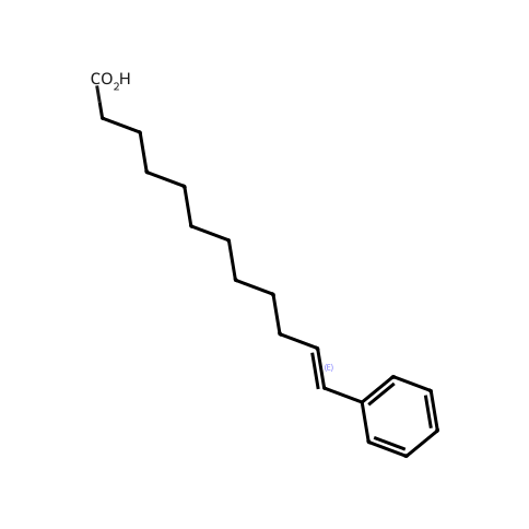 O=C(O)CCCCCCCCC/C=C/c1ccccc1